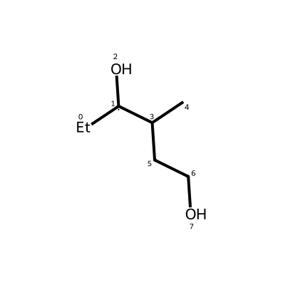 CC[C](O)C(C)CCO